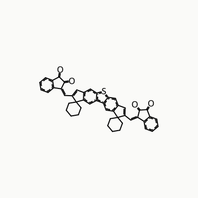 O=C1C(=O)c2ccccc2/C1=C/C1=Cc2cc3sc4cc5c(cc4c3cc2C12CCCCC2)C1(CCCCC1)C(/C=C1\C(=O)C(=O)c2ccccc21)=C5